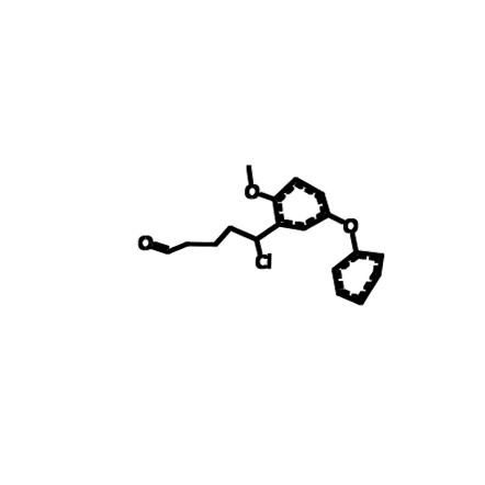 COc1ccc(Oc2ccccc2)cc1C(Cl)CCCC=O